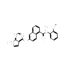 COc1ccccc1NC(=O)c1cccc2cc(Oc3ncnc4[nH]ccc34)ccc12